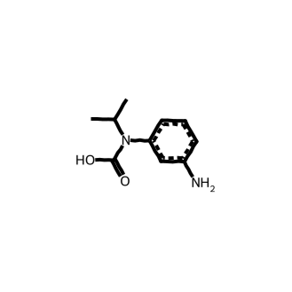 CC(C)N(C(=O)O)c1cccc(N)c1